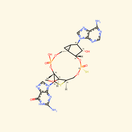 CO[C@H]1[C@H]2OP(=O)(O)OC[C@]34CC3[C@@H](n3cnc5c(N)ncnc53)[C@H](O)[C@@H]4O[P@](=O)(S)OC[C@H]1S[C@H]2n1cnc2c(=O)[nH]c(N)nc21